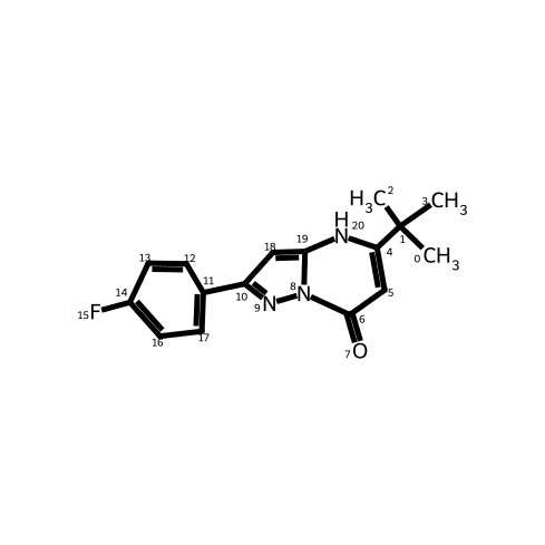 CC(C)(C)c1cc(=O)n2nc(-c3ccc(F)cc3)cc2[nH]1